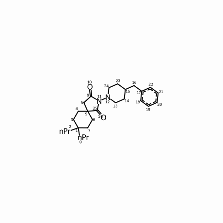 CCCC1(CCC)CCC2(CC1)CC(=O)N(N1CCC(Cc3ccccc3)CC1)C2=O